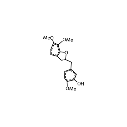 COc1ccc(CC2Cc3ccc(OC)c(OC)c3O2)cc1O